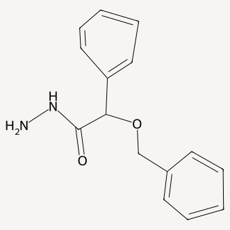 NNC(=O)C(OCc1ccccc1)c1ccccc1